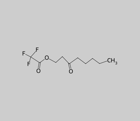 CCCCCC(=O)CCOC(=O)C(F)(F)F